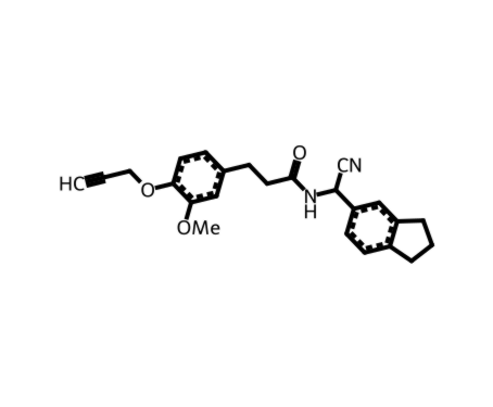 C#CCOc1ccc(CCC(=O)NC(C#N)c2ccc3c(c2)CCC3)cc1OC